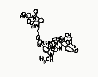 CC(=N)N1C(=N)[C@H](CC(=O)NC(C)c2ccc(-c3ncc(OCCCNc4cccc5c4C(=O)N(C4CCC(=O)NC4=O)C5=O)cn3)cc2)N=C(c2ccc(Cl)cc2)c2c1sc(C)c2C